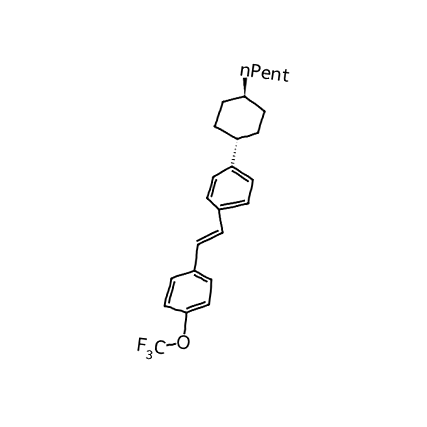 CCCCC[C@H]1CC[C@H](c2ccc(/C=C/c3ccc(OC(F)(F)F)cc3)cc2)CC1